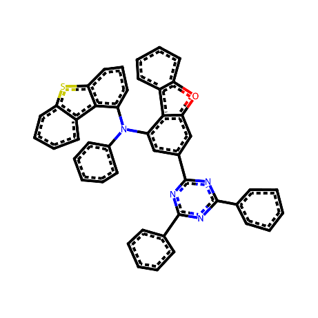 c1ccc(-c2nc(-c3ccccc3)nc(-c3cc(N(c4ccccc4)c4cccc5sc6ccccc6c45)c4c(c3)oc3ccccc34)n2)cc1